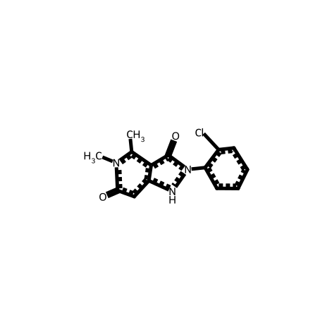 Cc1c2c(=O)n(-c3ccccc3Cl)[nH]c2cc(=O)n1C